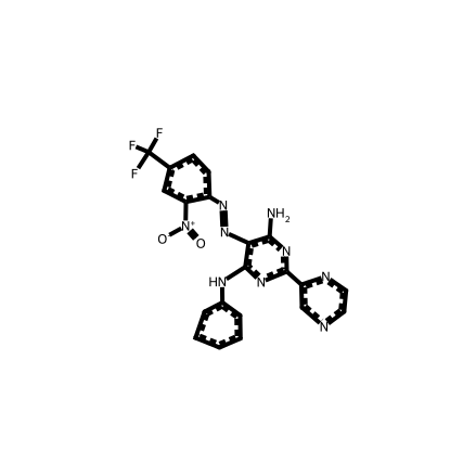 Nc1nc(-c2cnccn2)nc(Nc2ccccc2)c1/N=N/c1ccc(C(F)(F)F)cc1[N+](=O)[O-]